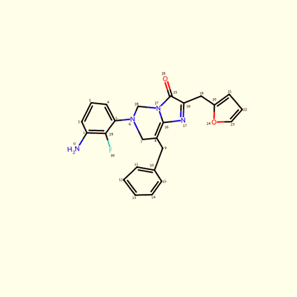 Nc1cccc(N2CC(Cc3ccccc3)=C3N=C(Cc4ccco4)C(=O)N3C2)c1F